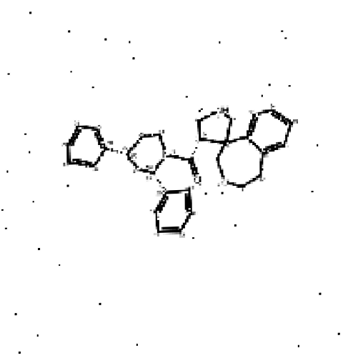 O=C([C@@H]1CNCC12COCCc1ccccc12)N1CC[C@@H](c2ccccc2)C[C@H]1c1ccccc1